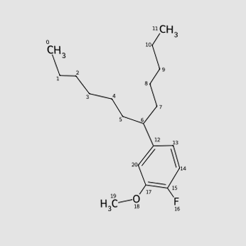 CCCCCCC(CCCCC)c1ccc(F)c(OC)c1